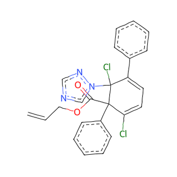 C=CCOC(=O)C1(c2ccccc2)C(Cl)=CC=C(c2ccccc2)C1(Cl)n1cncn1